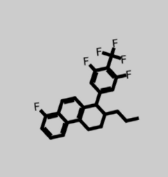 CCCC1CCc2c(ccc3c(F)cccc23)C1c1cc(F)c(C(F)(F)F)c(F)c1